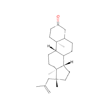 C=C(C)C[C@@]1(C)CC[C@H]2C3CCC4CC(=O)CC[C@]4(C)[C@H]3CC[C@@]21C